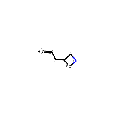 C=C[CH]C1CN[14CH2]1